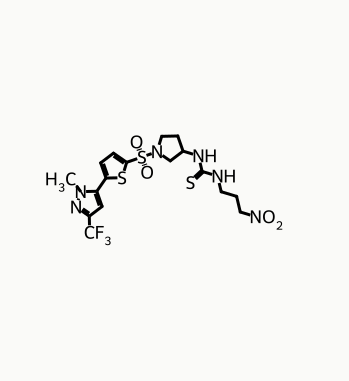 Cn1nc(C(F)(F)F)cc1-c1ccc(S(=O)(=O)N2CCC(NC(=S)NCCC[N+](=O)[O-])C2)s1